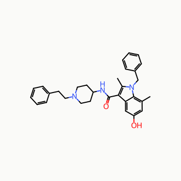 Cc1cc(O)cc2c(C(=O)NC3CCN(CCc4ccccc4)CC3)c(C)n(Cc3ccccc3)c12